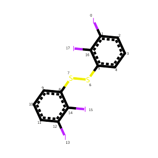 Ic1cccc(SSc2cccc(I)c2I)c1I